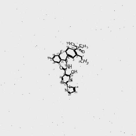 CCc1cc([C@@H](NC(=O)c2cnc(-n3cccn3)nc2O)c2ccc(F)cc2F)ccc1P(C)(=O)O